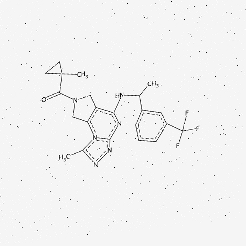 Cc1nnc2nc(NC(C)c3cccc(C(F)(F)F)c3)c3c(n12)CN(C(=O)C1(C)CC1)C3